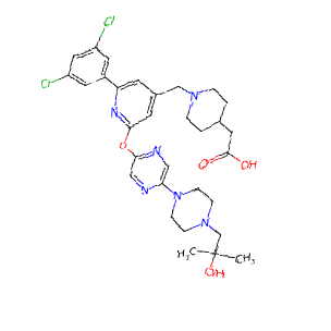 CC(C)(O)CN1CCN(c2cnc(Oc3cc(CN4CCC(CC(=O)O)CC4)cc(-c4cc(Cl)cc(Cl)c4)n3)cn2)CC1